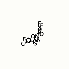 O=C(Cn1cnc2scc(-c3ccc(F)c(Cl)c3)c2c1=O)N1CC(F)(CF)C1